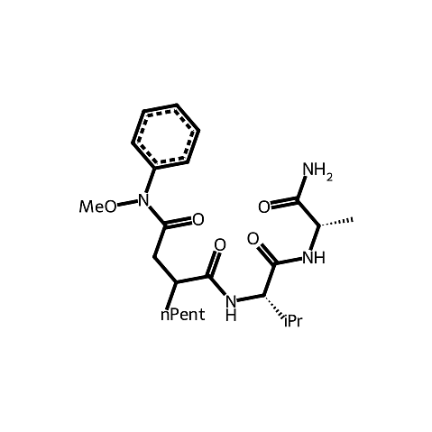 CCCCCC(CC(=O)N(OC)c1ccccc1)C(=O)N[C@H](C(=O)N[C@@H](C)C(N)=O)C(C)C